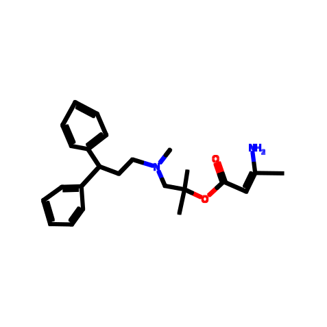 CC(N)=CC(=O)OC(C)(C)CN(C)CCC(c1ccccc1)c1ccccc1